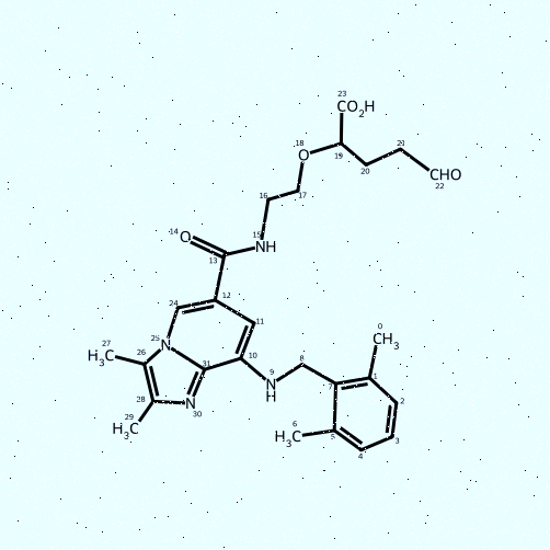 Cc1cccc(C)c1CNc1cc(C(=O)NCCOC(CCC=O)C(=O)O)cn2c(C)c(C)nc12